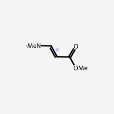 C[N]/C=C/C(=O)OC